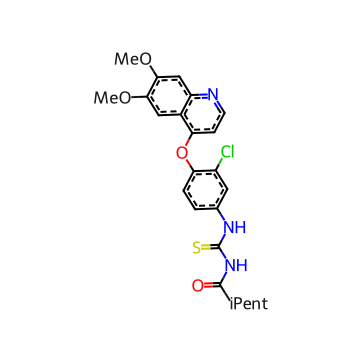 CCCC(C)C(=O)NC(=S)Nc1ccc(Oc2ccnc3cc(OC)c(OC)cc23)c(Cl)c1